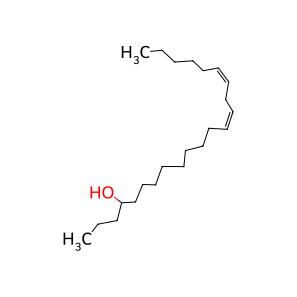 CCCCC/C=C\C/C=C\CCCCCCCCC(O)CCC